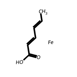 C/C=C/C=C/C(=O)O.[Fe]